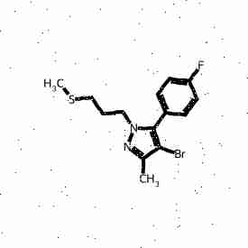 CSCCCn1nc(C)c(Br)c1-c1ccc(F)cc1